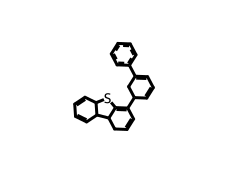 C1=CC(C2=C3SC4C=CC=CC4C3CC=C2)CC(c2ccccc2)=C1